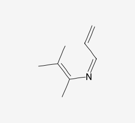 C=C/C=N\C(C)=C(C)C